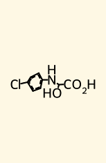 O=C(O)C(O)Nc1ccc(Cl)cc1